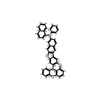 c1ccc(N(c2ccc3cc4c(cc3c2)oc2cc3c(cc24)Oc2cccc4c2B3c2ccccc2O4)c2cccc3ccccc23)cc1